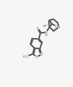 Cc1onc2cc(C(=O)N[C@@H]3CN4CCC3CC4)ccc12